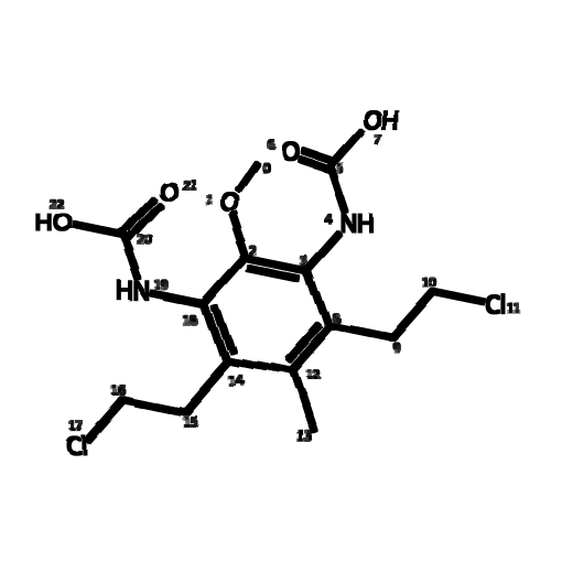 COc1c(NC(=O)O)c(CCCl)c(C)c(CCCl)c1NC(=O)O